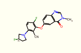 Cn1cnc2ccc(Oc3c(F)ccc(N4CC[C@@H](F)C4)c3C#N)cc2c1=O